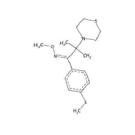 CON=C(c1ccc(SC)cc1)C(C)(C)N1CCSCC1